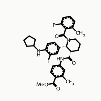 COC(=O)c1ccc(NC(=O)[C@H]2CCCN(C(=O)c3c(C)cccc3F)[C@H]2c2ccc(NC3CCCC3)c(I)c2)cc1C(F)(F)F